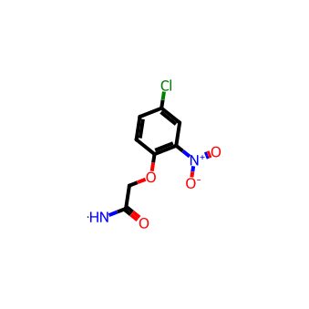 [NH]C(=O)COc1ccc(Cl)cc1[N+](=O)[O-]